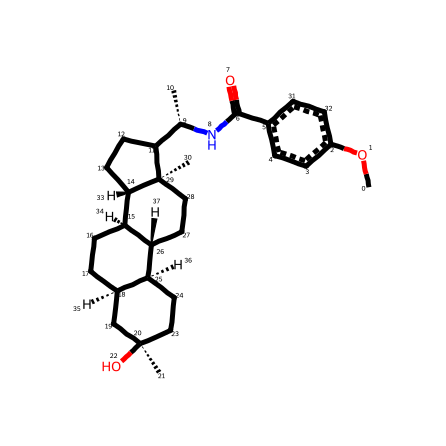 COc1ccc(C(=O)N[C@@H](C)C2CC[C@H]3[C@@H]4CC[C@@H]5C[C@](C)(O)CC[C@@H]5[C@H]4CC[C@]23C)cc1